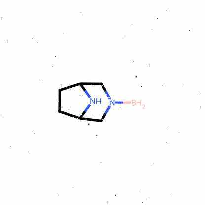 BN1CC2CCC(C1)N2